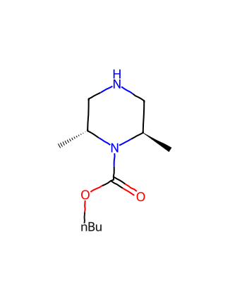 CCCCOC(=O)N1[C@H](C)CNC[C@H]1C